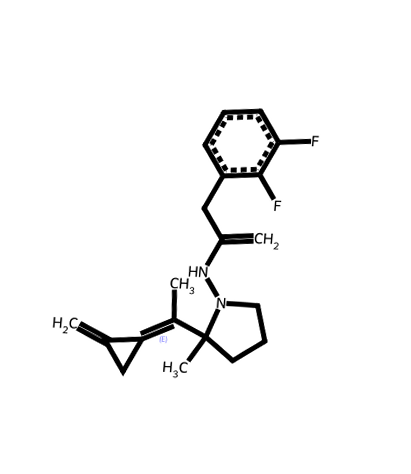 C=C(Cc1cccc(F)c1F)NN1CCCC1(C)/C(C)=C1\CC1=C